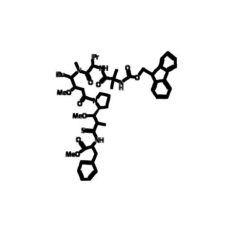 CCC(C)C(C(CC(=O)N1CCC[C@H]1C(OC)C(C)C(=S)NC(Cc1ccccc1)C(=O)OC)OC)N(C)C(=O)C(NC(=O)C(C)(C)NC(=O)OCC1c2ccccc2-c2ccccc21)C(C)C